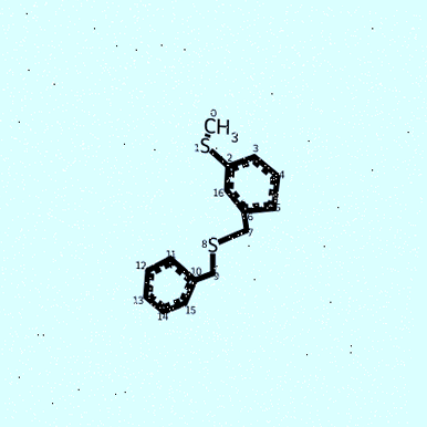 CSc1cccc(CSCc2ccccc2)c1